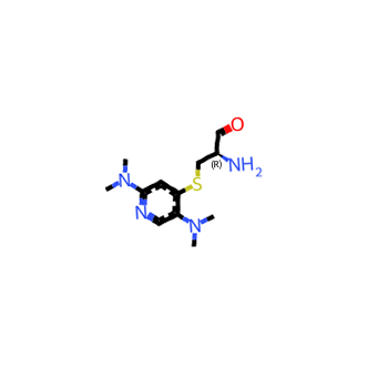 CN(C)c1cc(SC[C@H](N)C=O)c(N(C)C)cn1